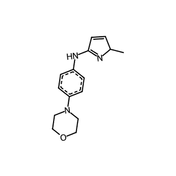 CC1C=CC(Nc2ccc(N3CCOCC3)cc2)=N1